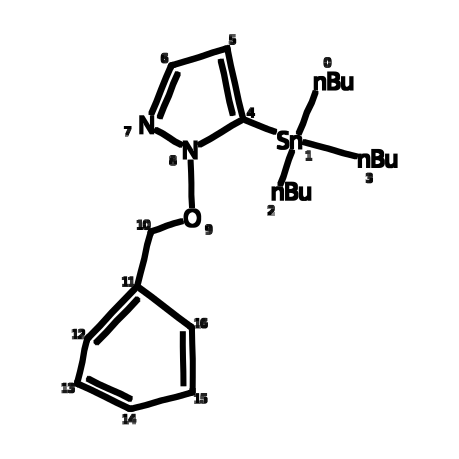 CCC[CH2][Sn]([CH2]CCC)([CH2]CCC)[c]1ccnn1OCc1ccccc1